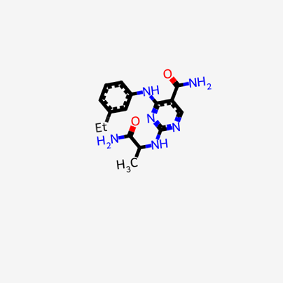 CCc1cccc(Nc2nc(NC(C)C(N)=O)ncc2C(N)=O)c1